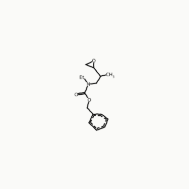 CCN(CC(C)C1CO1)C(=O)OCc1ccccc1